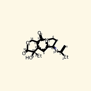 C=C(CC)/N=C1\CCn2c1cc1c(c2=O)COC(=O)[C@]1(O)CC